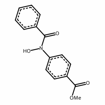 COC(=O)c1ccc(N(O)C(=O)c2ccccc2)cc1